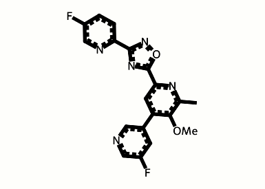 COc1c(-c2cncc(F)c2)cc(-c2nc(-c3ccc(F)cn3)no2)nc1C